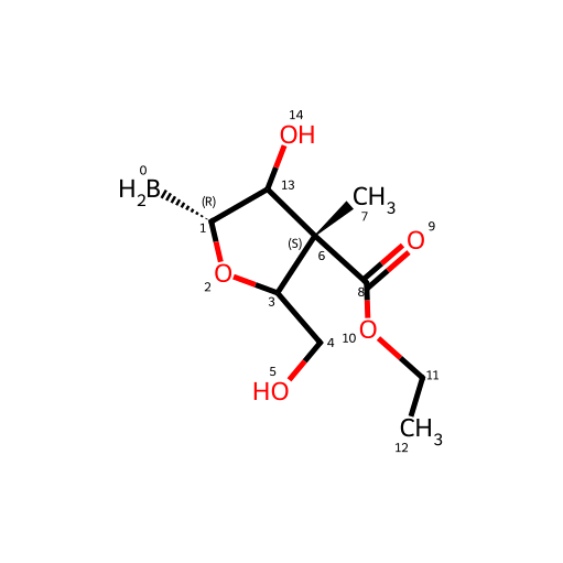 B[C@H]1OC(CO)[C@@](C)(C(=O)OCC)C1O